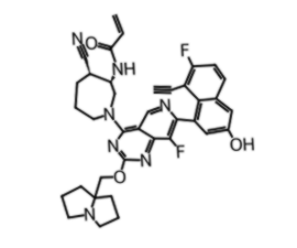 C#Cc1c(F)ccc2cc(O)cc(-c3ncc4c(N5CCC[C@@H](C#N)[C@@H](NC(=O)C=C)C5)nc(OCC56CCCN5CCC6)nc4c3F)c12